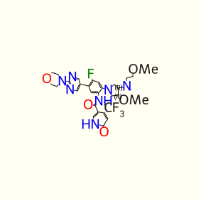 COCCN(C)[C@@H]1CN(c2cc(F)c(-c3cnc(N4CCOCC4)nc3)cc2NC(=O)c2c[nH]c(=O)cc2C(F)(F)F)C[C@H]1OC